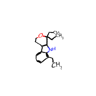 CCc1cccc2c1NC1C2CCOC1(CC)CC